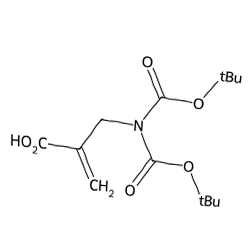 C=C(CN(C(=O)OC(C)(C)C)C(=O)OC(C)(C)C)C(=O)O